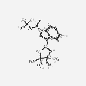 CC(C)(C)OC(=O)n1cc(B2OC(C)(C)C(C)(C)O2)c2cc(F)cnc21